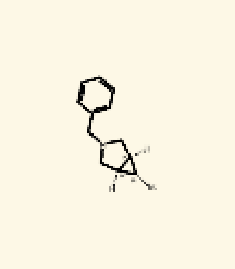 CC[C@@H]1[C@H]2CN(Cc3ccccc3)C[C@@H]12